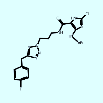 CCCCNc1nc(Cl)[nH]c1C(=O)NCCCn1nnc(Cc2ccc(F)cc2)n1